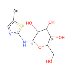 CC(=O)c1cnc(N[C@H]2OC(CO)[C@@H](O)C(O)C2O)s1